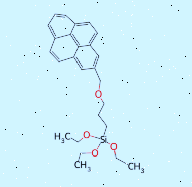 CCO[Si](CCCOCc1cc2ccc3cccc4ccc(c1)c2c34)(OCC)OCC